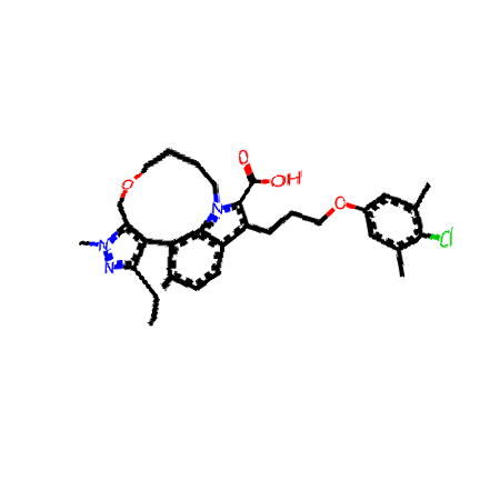 CCc1nn(C)c2c1-c1c(C)ccc3c(CCCOc4cc(C)c(Cl)c(C)c4)c(C(=O)O)n(c13)CCCCOC2